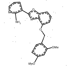 COc1ccc(COc2cccc3oc(-c4cccnc4N)nc23)c(OC)c1